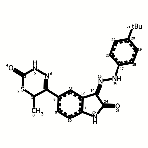 CC1SC(=O)NN=C1c1ccc2c(c1)/C(=N/Nc1ccc(C(C)(C)C)cc1)C(=O)N2